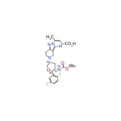 Cc1cc(C(=O)O)nc2c3c(nn12)CCN([C@H]1CO[C@H](c2cc(F)ccc2F)[C@@H](NC(=O)OC(C)(C)C)C1)C3